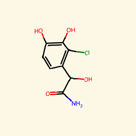 NC(=O)C(O)c1ccc(O)c(O)c1Cl